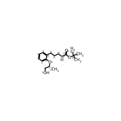 C[C@H](CO)Oc1ccccc1CCCNC(=O)OC(C)(C)C